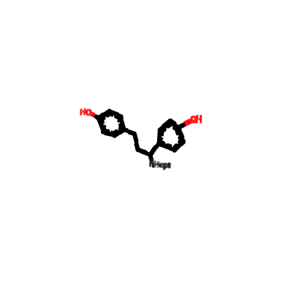 CCCCCCCC(CCc1ccc(O)cc1)c1ccc(O)cc1